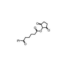 CC(C)C(=O)CCCCC(=O)OC1C(=O)CCC1=O